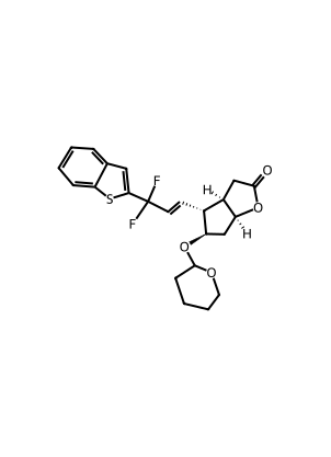 O=C1C[C@@H]2[C@@H](C=CC(F)(F)c3cc4ccccc4s3)[C@H](OC3CCCCO3)C[C@@H]2O1